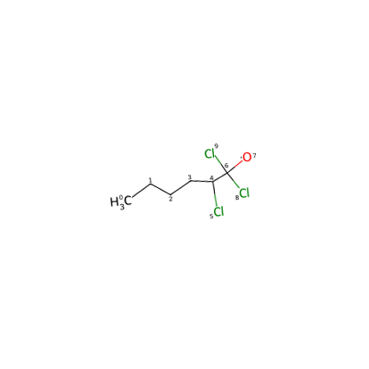 CCCCC(Cl)C([O])(Cl)Cl